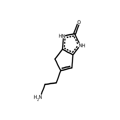 NCCC1=Cc2[nH]c(=O)[nH]c2C1